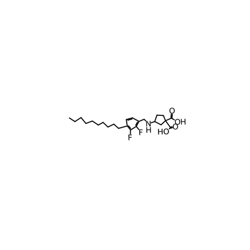 CCCCCCCCCCc1ccc(CNC2CCC(C(=O)O)(C(=O)O)C2)c(F)c1F